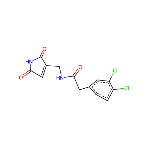 O=C1C=C(CNC(=O)Cc2ccc(Cl)c(Cl)c2)C(=O)N1